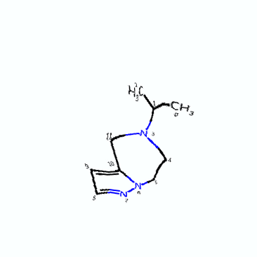 CC(C)N1CCn2nccc2C1